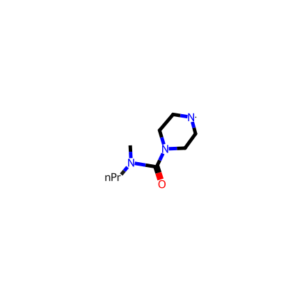 CCCN(C)C(=O)N1CC[N]CC1